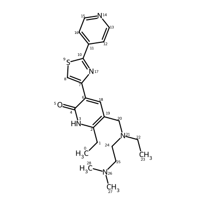 CCc1[nH]c(=O)c(-c2csc(-c3ccncc3)n2)cc1CN(CC)CCN(C)C